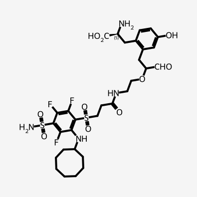 N[C@@H](Cc1ccc(O)cc1CC(C=O)OCCNC(=O)CCS(=O)(=O)c1c(F)c(F)c(S(N)(=O)=O)c(F)c1NC1CCCCCCC1)C(=O)O